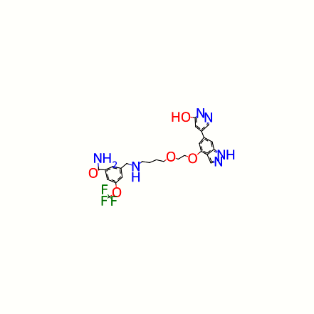 NC(=O)c1cc(CNCCCCOCCOc2cc(-c3cnnc(O)c3)cc3[nH]ncc23)cc(OC(F)(F)F)c1